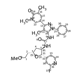 COCC[C@@H]1C[C@@H](NC(=O)Nc2c(C)c(-c3cc(C)c(=O)n(C)c3)nn2-c2ccccc2)[C@H](c2ccnc(F)c2)O1